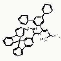 CN/C(=N\C(=N/C(C)C)c1cc(-c2ccccc2)cc(-c2ccccc2)c1)c1ccc2c(c1)C1(c3ccccc3-2)c2ccccc2C2C=CC=CC21